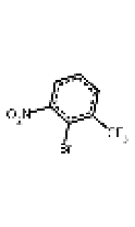 O=[N+]([O-])c1cccc(C(F)(F)F)c1Br